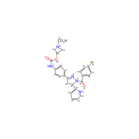 O=C(Nc1ccc(C2=NN(C(=O)c3ccc(Br)cc3)C(c3ccccn3)C2)cc1)OC1CN(C(=O)O)C1